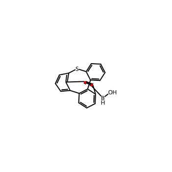 OBc1cccc2c1-c1cccc3c1-c1ccccc1Sc1cccc-3c1-2